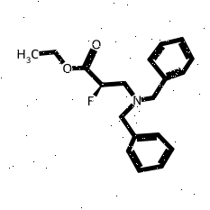 CCOC(=O)[C@H](F)CN(Cc1ccccc1)Cc1ccccc1